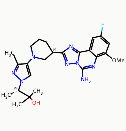 COc1cc(F)cc2c1nc(N)n1nc([C@@H]3CCCN(c4cn([C@@H](C)C(C)(C)O)nc4C)C3)nc21